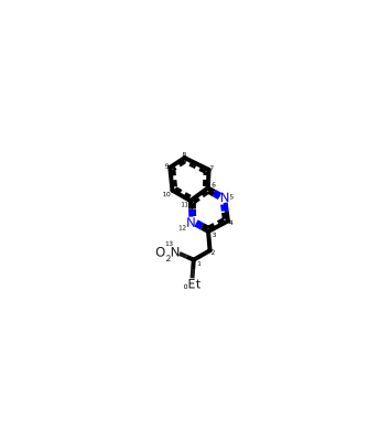 CCC(Cc1cnc2ccccc2n1)[N+](=O)[O-]